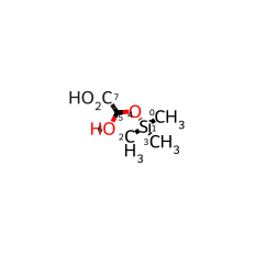 C[Si](C)(C)OC(O)C(=O)O